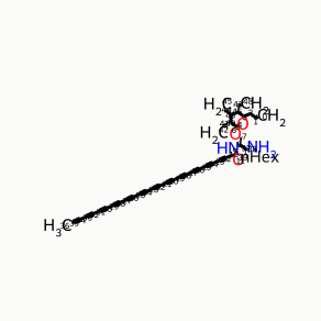 C=CCC1O[C@H](OC[C@H](NC(=O)C#CC#CC#CC#CC#CC#CC#CC#CC#CC#CC#CC#CC)[C@H](N)CCCCCC)[C@@H](C=C)C(C=C)[C@H]1C=C